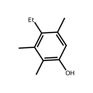 CCc1c(C)cc(O)c(C)c1C